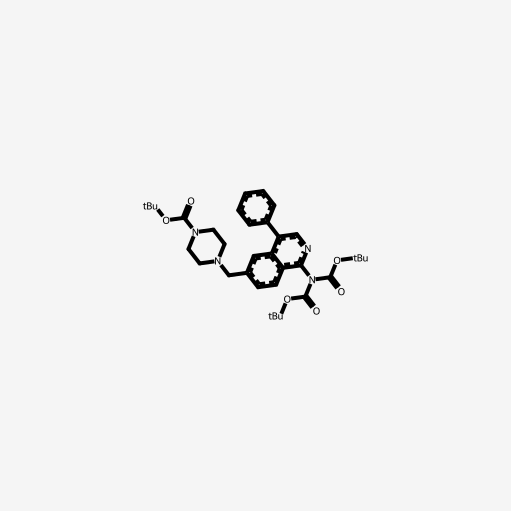 CC(C)(C)OC(=O)N1CCN(Cc2ccc3c(N(C(=O)OC(C)(C)C)C(=O)OC(C)(C)C)ncc(-c4ccccc4)c3c2)CC1